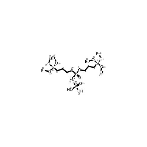 CCO[Si](CCCOP(=S)(CC)SCCC[Si](OCC)(OCC)OCC)(OCC)OCC.O=P(O)(O)O